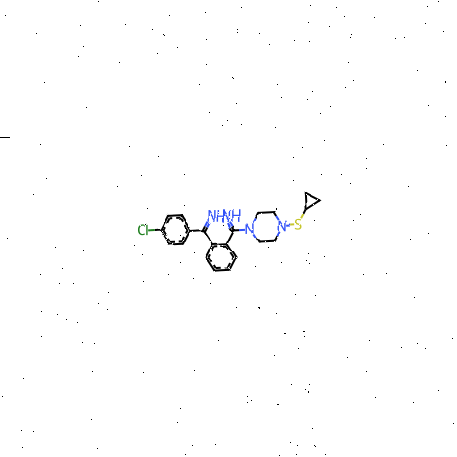 N=C(c1ccc(Cl)cc1)c1ccccc1C(=N)N1CCN(SC2CC2)CC1